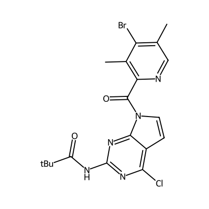 Cc1cnc(C(=O)n2ccc3c(Cl)nc(NC(=O)C(C)(C)C)nc32)c(C)c1Br